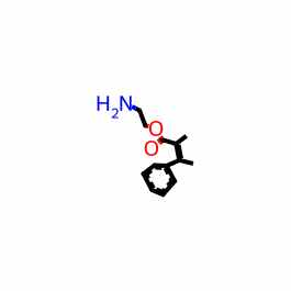 CC(C(=O)OCCN)=C(C)c1ccccc1